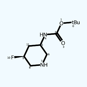 CC(C)(C)OC(=O)NC1CNC[C@@H](F)C1